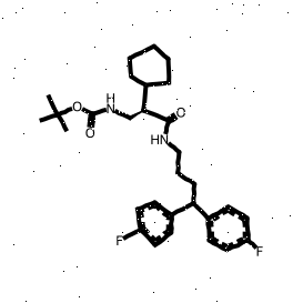 CC(C)(C)OC(=O)NC[C@H](C(=O)NCCCC(c1ccc(F)cc1)c1ccc(F)cc1)C1CCCCC1